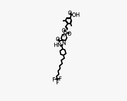 Cc1cc(C(=O)O)cc(C)c1C=CS(=O)(=O)N1CCC2(CC1)N=C(C1CCC(CCCCCCCCC(F)(F)F)CC1)NC2=O